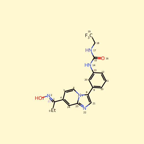 CC/C(=N\O)c1ccn2c(-c3cccc(NC(=O)NCC(F)(F)F)c3)cnc2c1